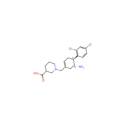 N[C@@H]1CC(CN2CCCC(C(=O)O)C2)=CC[C@H]1c1ccc(Cl)cc1Cl